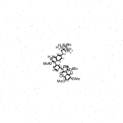 COc1cc(OC)c(Cl)c(N(C(=O)OC(C)(C)C)C(=O)N(C)c2cc(N(C(=O)OC(C)(C)C)c3ccc(CCC(C)(C)[Si](C)(C)O)cc3N)ncn2)c1Cl